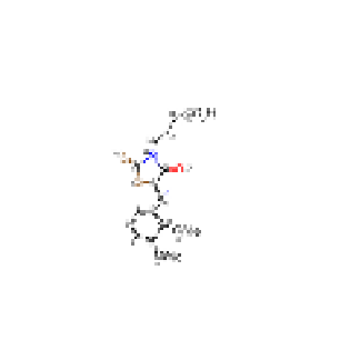 COc1cccc(/C=C2\SC(=S)N(CCCC(=O)O)C2=O)c1OC